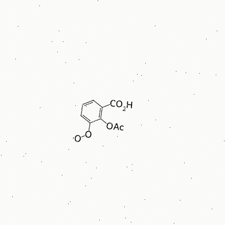 CC(=O)Oc1c(O[O])cccc1C(=O)O